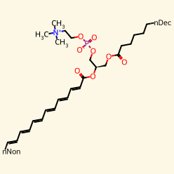 CCCCCCCCCC=CC=CC=CC=CC=CC=CC(=O)O[C@H](COC(=O)CCCCCCCCCCCCCCC)COP(=O)([O-])OCC[N+](C)(C)C